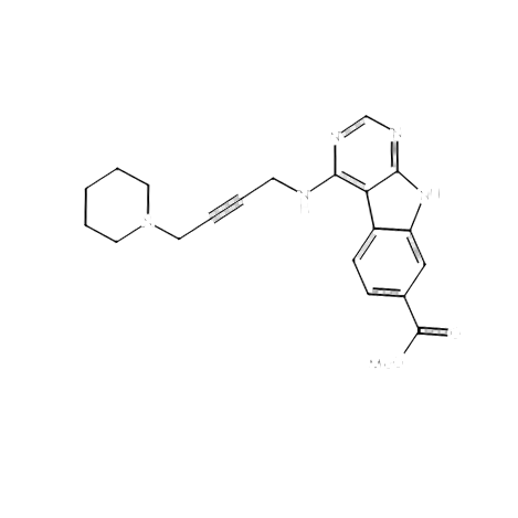 COC(=O)c1ccc2c(c1)[nH]c1ncnc(NCC#CCN3CCCCC3)c12